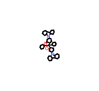 c1ccc(C23Oc4cc(-n5c6ccccc6c6ccccc65)ccc4C2(c2ccccc2)c2ccc(-n4c5ccccc5c5ccccc54)cc2O3)cc1